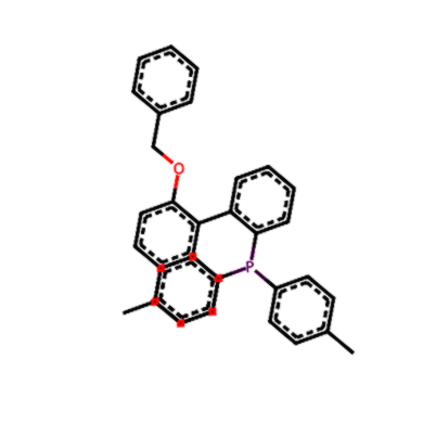 Cc1ccc(P(c2ccc(C)cc2)c2ccccc2-c2c(OCc3ccccc3)ccc3ccccc23)cc1